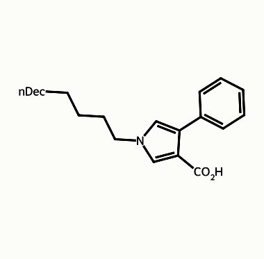 CCCCCCCCCCCCCCn1cc(C(=O)O)c(-c2ccccc2)c1